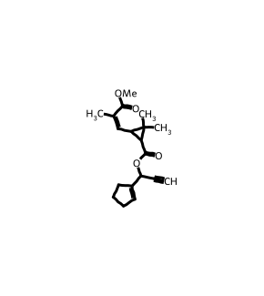 C#CC(OC(=O)C1C(C=C(C)C(=O)OC)C1(C)C)C1=CCCC1